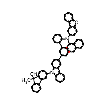 CC1(C)c2ccccc2-c2cc(-n3c4ccccc4c4cc(-c5cccc(-c6ccccc6N(c6ccc7oc8ccccc8c7c6)c6cccc7ccccc67)c5)ccc43)ccc21